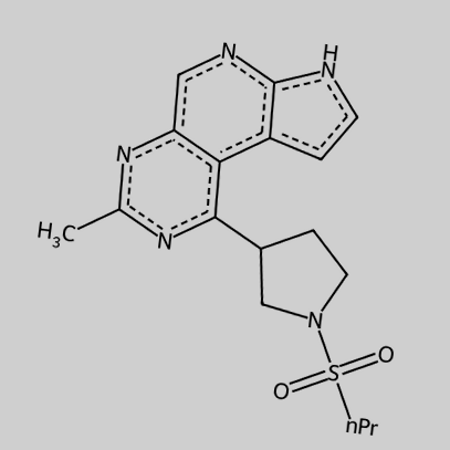 CCCS(=O)(=O)N1CCC(c2nc(C)nc3cnc4[nH]ccc4c23)C1